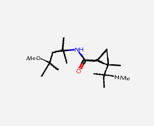 CNC(C)(C)C1(C)CC1C(=O)NC(C)(C)CC(C)(C)OC